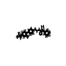 O=C(CCCc1ccc(-c2ccc(C(F)(F)F)cc2F)cc1)Nc1cccnc1